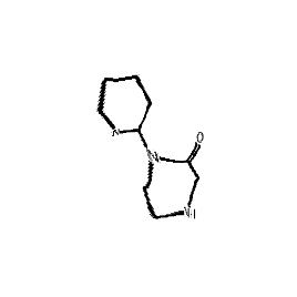 O=C1CNCCN1C1CCCC[N]1